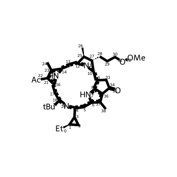 CC[C@@H]1CC1c1cc2[nH]c3c(c4nc(cc5[nH]c(cc(C(C)(C)C)n1)c(C(C)=O)c5C)[C@@H](C)[C@@H]4CCCOOC)CC(=O)c3c2C